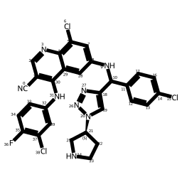 N#Cc1cnc2c(Cl)cc(NC(c3ccc(Cl)cc3)c3cn([C@H]4CCNC4)nn3)cc2c1Nc1ccc(F)c(Cl)c1